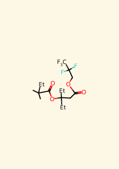 CCC(CC)(CC(=O)OCC(F)(F)C(F)(F)F)OC(=O)C(C)(C)CC